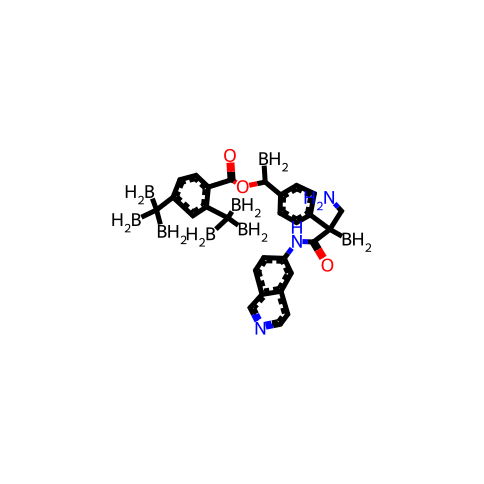 BC(OC(=O)c1ccc(C(B)(B)B)cc1C(B)(B)B)c1ccc(C(B)(CN)C(=O)Nc2ccc3cnccc3c2)cc1